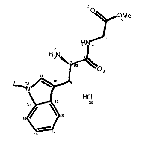 COC(=O)CNC(=O)[C@H](N)Cc1cn(C)c2ccccc12.Cl